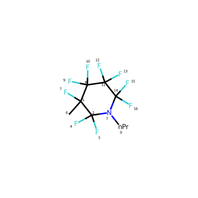 CCCN1C(F)(F)C(C)(F)C(F)(F)C(F)(F)C1(F)F